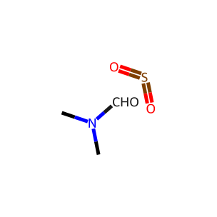 CN(C)C=O.O=S=O